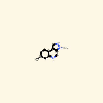 Cn1ncc2c3ccc(C#N)cc3ncc21